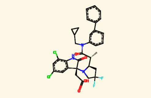 C[C@@H](C(=O)N(CC1CC1)c1cccc(-c2ccccc2)c1)[C@H]1CC(F)(F)CN1[C@@]1(CC(=O)O)C(=O)Nc2c(Cl)cc(Cl)cc21